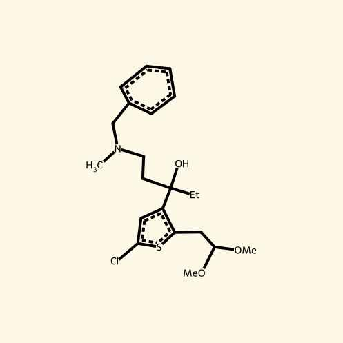 CCC(O)(CCN(C)Cc1ccccc1)c1cc(Cl)sc1CC(OC)OC